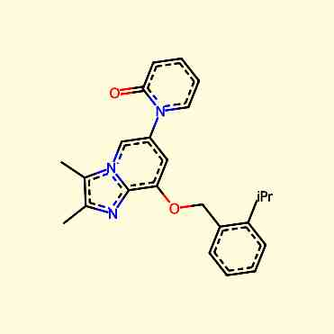 Cc1nc2c(OCc3ccccc3C(C)C)cc(-n3ccccc3=O)cn2c1C